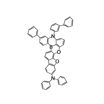 c1ccc(-c2cccc(N3c4cc(-c5ccccc5)ccc4B4c5ccc6c(oc7cc(N(c8ccccc8)c8ccccc8)ccc76)c5Oc5cccc3c54)c2)cc1